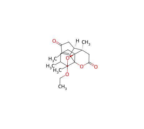 CCOC1C(C)CC[C@@]2(OCC)C13OC(=O)C[C@]2(C)[C@@H]1CC(=O)C(C)=C13